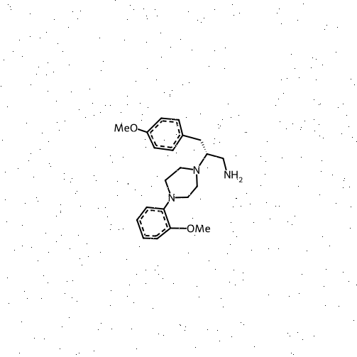 COc1ccc(C[C@H](CN)N2CCN(c3ccccc3OC)CC2)cc1